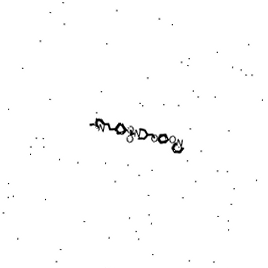 Cc1ccc(CCc2ccc(OC(=O)N3CCC(COc4ccc(Oc5ccccn5)cc4)CC3)cc2)nc1